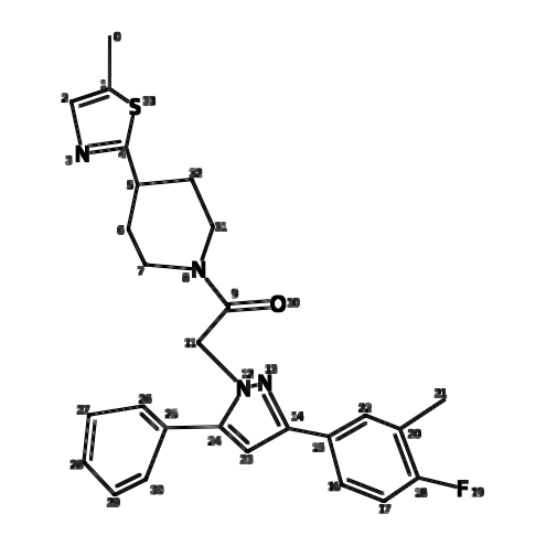 Cc1cnc(C2CCN(C(=O)Cn3nc(-c4ccc(F)c(C)c4)cc3-c3ccccc3)CC2)s1